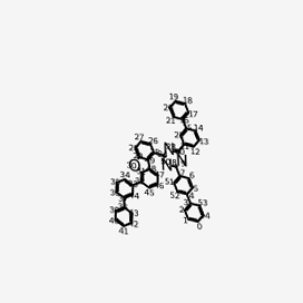 c1ccc(-c2ccc(-c3nc(-c4cccc(-c5ccccc5)c4)nc(-c4cccc5oc6c(-c7cccc(-c8ccccc8)c7)cccc6c45)n3)cc2)cc1